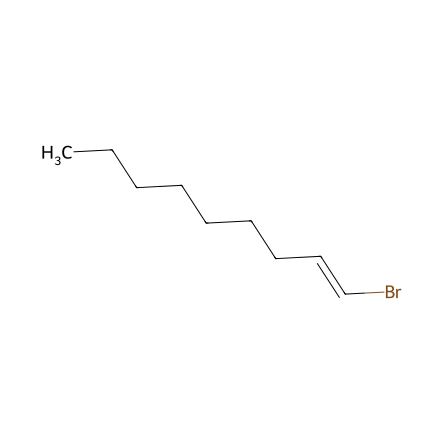 CCCCCCCC=CBr